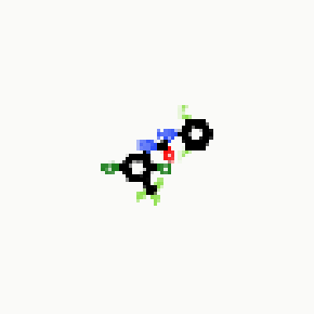 O=C(Nc1cc(Cl)cc(C(F)(F)F)c1Cl)Nc1c(F)cccc1F